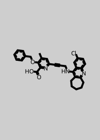 Cc1cc(C#CCNc2c3c(nc4ccc(Cl)cc24)CCCCC3)nc(C(=O)O)c1OCc1ccccc1